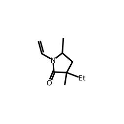 C=CN1C(=O)C(C)(CC)CC1C